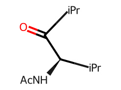 CC(=O)N[C@@H](C(=O)C(C)C)C(C)C